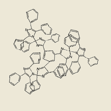 c1ccc(C2=NC(c3ccccc3)(n3c(-c4ccccc4)nc(-c4ccccc4)c3-c3ccccc3)N=C2c2cc(C3=NC(c4ccccc4)(n4c(-c5ccccc5)nc(-c5ccccc5)c4-c4ccccc4)N=C3c3ccccc3)cc(C3=NC(c4ccccc4)(n4c(-c5ccccc5)nc(-c5ccccc5)c4-c4ccccc4)N=C3c3ccccc3)c2)cc1